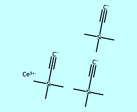 [C-]#C[Si](C)(C)C.[C-]#C[Si](C)(C)C.[C-]#C[Si](C)(C)C.[Ce+3]